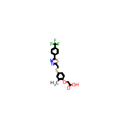 Cc1cc(SCc2nnc(-c3ccc(C(F)(F)F)cc3)s2)ccc1OCC(=O)O